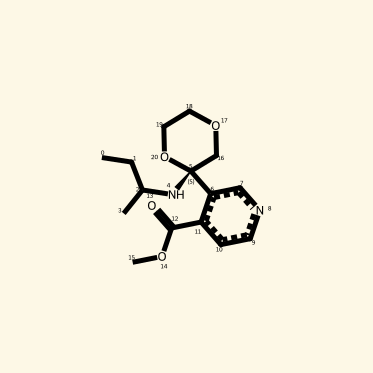 CCC(C)N[C@]1(c2cnccc2C(=O)OC)COCCO1